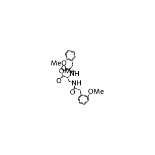 COC(=O)[C@H](CNC(=O)Cc1ccccc1OC)NC(=O)Cc1ccccc1OC